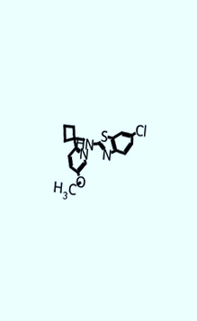 COc1ccc(C2(CNc3nc4ccc(Cl)cc4s3)CCC2)nc1